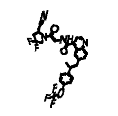 CC(=Cc1ccc2nccc(C(=O)NCC(=O)N3CC(F)(F)CC3C#N)c2c1)c1ccc(OC(F)(F)F)cc1